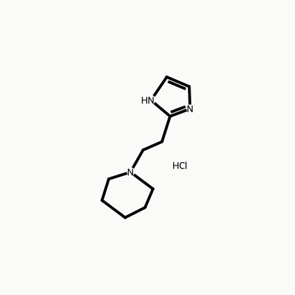 Cl.c1c[nH]c(CCN2CCCCC2)n1